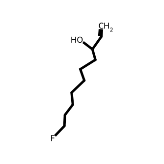 C=CC(O)CCCCCCCF